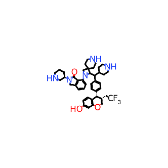 O=C1c2c(cccc2N2CC3(CCNCC3)C2C(c2ccc([C@H]3c4ccc(O)cc4OC[C@H]3CC(F)(F)F)cc2)C2CCNCC2)CN1C1CCCNC1